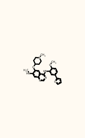 CNc1cc2ncnc(Nc3cc(-c4ccco4)ccc3OC)c2cc1OC1CCN(C)CC1